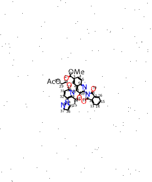 COC(=O)c1ccc2nc(N3C(=O)c4ccccc4C3=O)c(O[C@@H](C)c3nc(OCCOC(C)=O)ccc3-n3cccn3)cc2c1